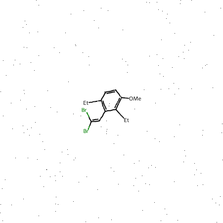 CCc1ccc(OC)c(CC)c1C=C(Br)Br